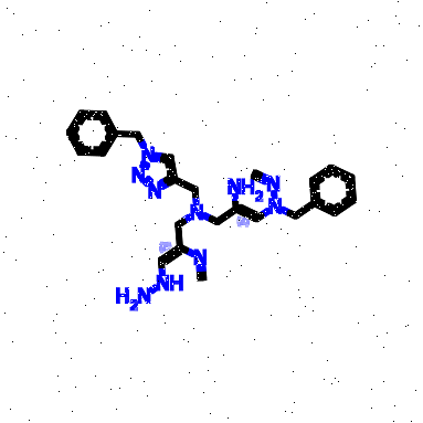 C=N/C(=C\NN)CN(C/C(N)=C/N(Cc1ccccc1)N=C)Cc1cn(Cc2ccccc2)nn1